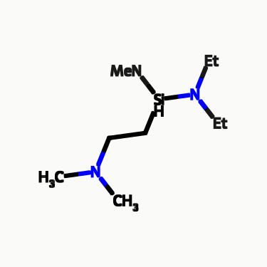 CCN(CC)[SiH](CCN(C)C)NC